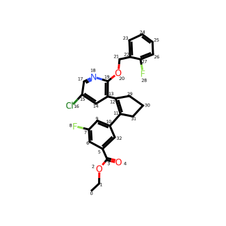 CCOC(=O)c1cc(F)cc(C2=C(c3cc(Cl)cnc3OCc3ccccc3F)CCC2)c1